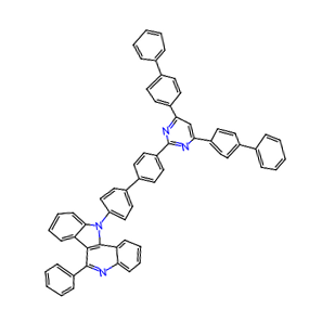 c1ccc(-c2ccc(-c3cc(-c4ccc(-c5ccccc5)cc4)nc(-c4ccc(-c5ccc(-n6c7ccccc7c7c(-c8ccccc8)nc8ccccc8c76)cc5)cc4)n3)cc2)cc1